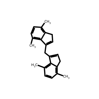 Cc1ccc(C)c2c1CC=C2CC1=CCc2c(C)ccc(C)c21